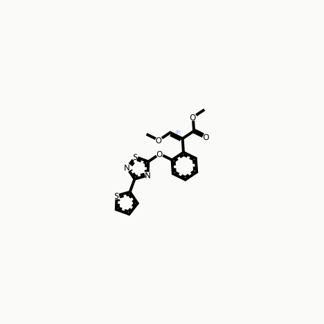 CO/C=C(/C(=O)OC)c1ccccc1Oc1nc(-c2cccs2)ns1